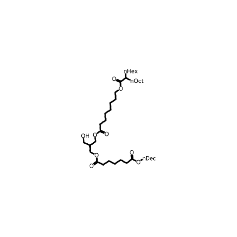 CCCCCCCCCCOC(=O)CCCCCC(=O)OCC(CO)COC(=O)CCCCCCCOC(=O)C(CCCCCC)CCCCCCCC